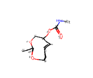 CCNC(=O)OC1/C=C/COC(C)OC1